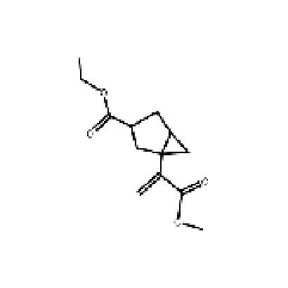 C=C(C(=O)OC)C12CC(C(=O)OCC)CC1C2